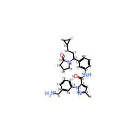 Cc1cc(C(=O)Nc2cccc(C(CCC3CC3)N3CCCC3=O)c2)n(-c2cccc(CN)c2)n1